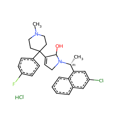 C[C@H](c1cc(Cl)cc2ccccc12)N1CC=C(C2(c3ccc(F)cc3)CCN(C)CC2)C1O.Cl